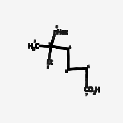 CCCCCCC(C)(CC)CCCC(=O)O